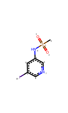 CS(=O)(=O)Nc1cncc(I)c1